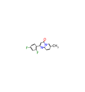 Cc1ccc2nc(-c3ccc(F)cc3F)cc(=O)n2c1